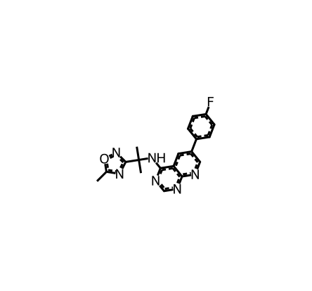 Cc1nc(C(C)(C)Nc2ncnc3ncc(-c4ccc(F)cc4)cc23)no1